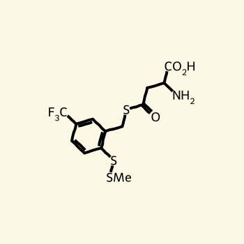 CSSc1ccc(C(F)(F)F)cc1CSC(=O)CC(N)C(=O)O